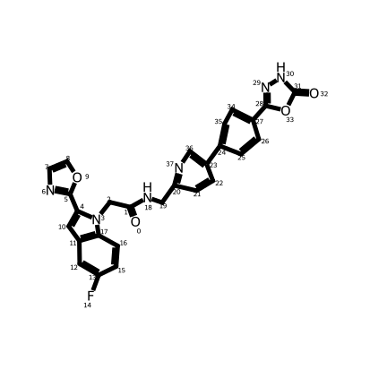 O=C(Cn1c(-c2ncco2)cc2cc(F)ccc21)NCc1ccc(-c2ccc(-c3n[nH]c(=O)o3)cc2)cn1